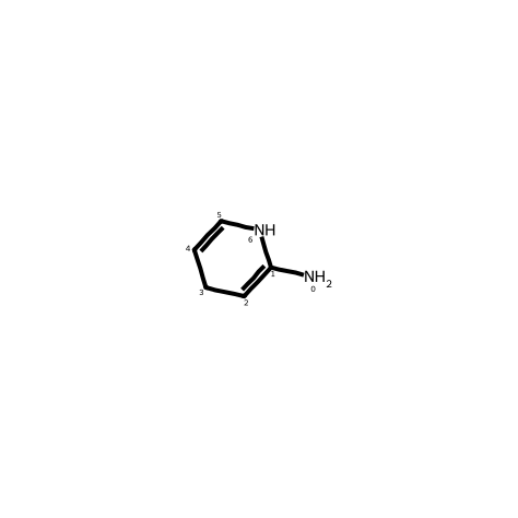 NC1=CCC=CN1